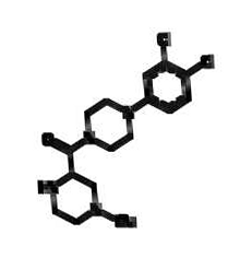 CC(C)(C)N1CCNC(C(=O)N2CCN(c3ccc(Cl)c(Cl)c3)CC2)C1